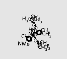 CNc1cc(Cl)c2[nH]c(-c3nn(COCC[Si](C)(C)C)c4c3CCC(C)(C)C4)[n+](COCC[Si](C)(C)C)c2c1